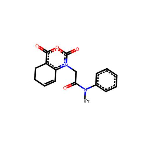 CC(C)N(C(=O)Cn1c2c(c(=O)oc1=O)CCC=C2)c1ccccc1